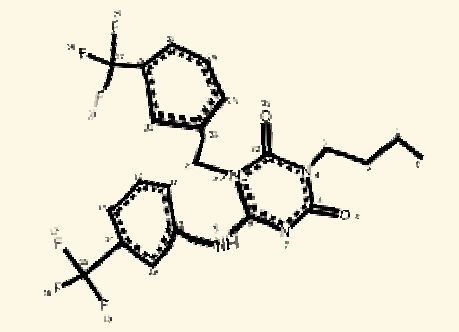 CCCCn1c(=O)nc(Nc2cccc(C(F)(F)F)c2)n(Cc2cccc(C(F)(F)F)c2)c1=O